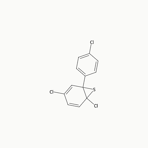 ClC1=CC2(c3ccc(Cl)cc3)SC2(Cl)C=C1